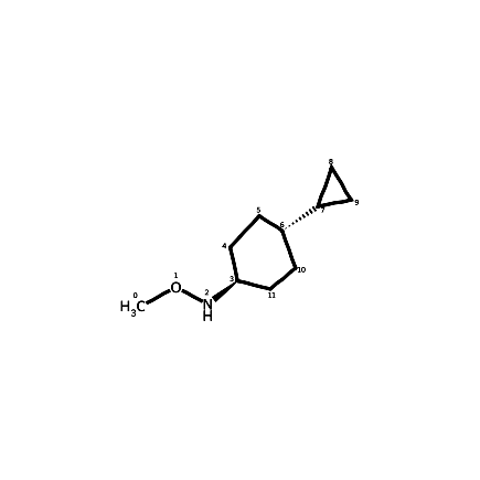 CON[C@H]1CC[C@H](C2CC2)CC1